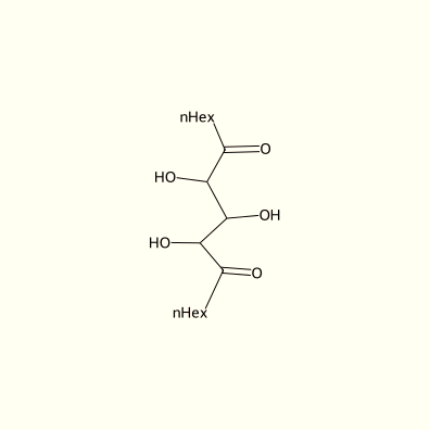 CCCCCCC(=O)C(O)C(O)C(O)C(=O)CCCCCC